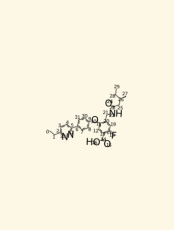 CCc1ccc(-c2ccc(Oc3cc(C(=O)O)c(F)cc3CNC(=O)C[C@H](C)CC)cc2)nn1